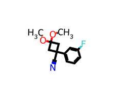 COC1(OC)CC(C#N)(c2cccc(F)c2)C1